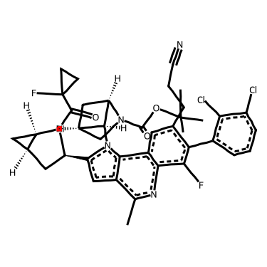 Cc1nc2c(F)c(-c3cccc(Cl)c3Cl)c(CCC#N)cc2c2c1cc([C@H]1C[C@H]3C[C@H]3N1C(=O)C1(F)CC1)n2[C@H]1[C@@H]2C[C@H]1N(C(=O)OC(C)(C)C)C2